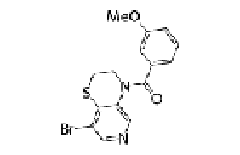 COc1cccc(C(=O)N2CCSc3c(Br)cncc32)c1